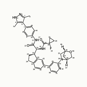 Cc1n[nH]c(C)c1-c1ccc(NC(=O)[C@@H](NC(=O)C2(F)CC2)[C@@H]2CCc3ccc(-c4ccnc(N5C[C@H]6C[C@@H]5CO6)c4)cc32)cc1